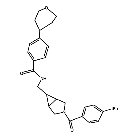 CC(C)(C)c1ccc(C(=O)N2CC3C(CNC(=O)c4ccc(C5CCOCC5)cc4)C3C2)cc1